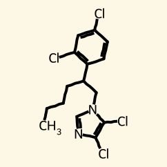 CCCCC(Cn1cnc(Cl)c1Cl)c1ccc(Cl)cc1Cl